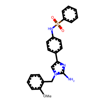 COc1ccccc1Cn1cc(-c2ccc(NS(=O)(=O)c3ccccc3)cc2)nc1N